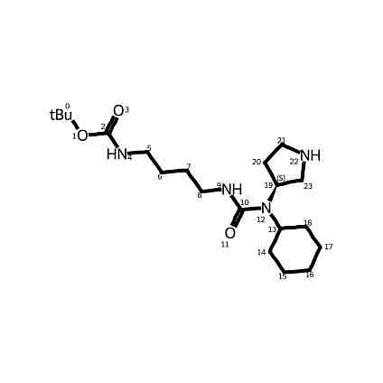 CC(C)(C)OC(=O)NCCCCNC(=O)N(C1CCCCC1)[C@H]1CCNC1